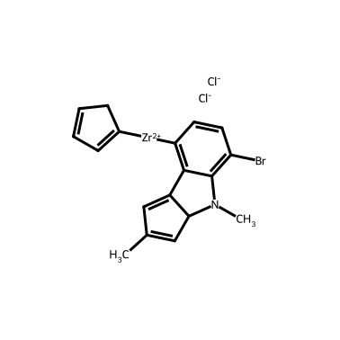 CC1=CC2C(=C1)c1[c]([Zr+2][C]3=CC=CC3)ccc(Br)c1N2C.[Cl-].[Cl-]